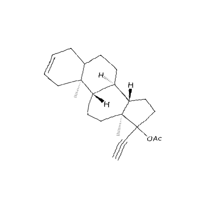 C#CC1(OC(C)=O)CC[C@H]2[C@@H]3CCC4CC=CC[C@]4(C)[C@H]3CC[C@@]21C